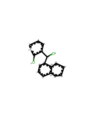 Clc1ccccc1C(Cl)c1cccc2ccccc12